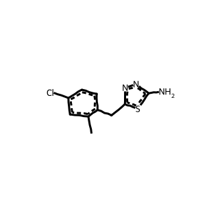 Cc1cc(Cl)ccc1Cc1nnc(N)s1